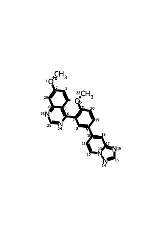 COc1ccc2c(-c3cc(-c4ccn5ncnc5c4)ccc3OC)ncnc2c1